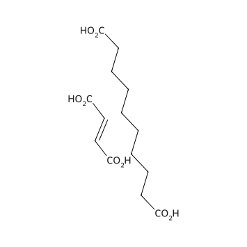 O=C(O)C=CC(=O)O.O=C(O)CCCCCCCCC(=O)O